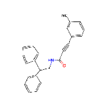 N#Cc1cccc(C#CC(=O)NCC(c2ccccc2)c2ccccc2)c1